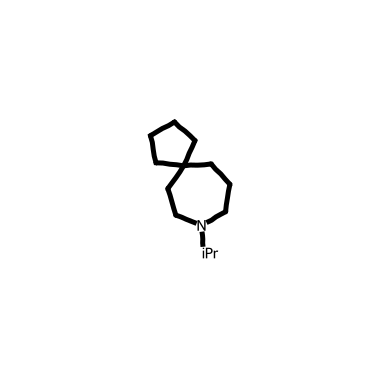 CC(C)N1CCCC2(CCCC2)CC1